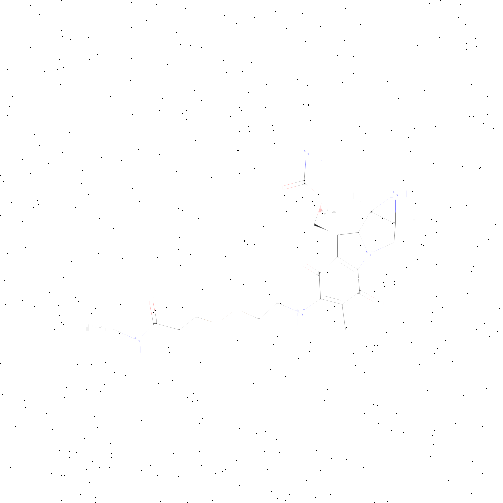 CCCCCNC(=O)CCSSCCNC1=C(C)C(=O)C2=C(C1=O)[C@@H](COC(N)=O)[C@@]1(OC)[C@H]3N[C@H]3CN21